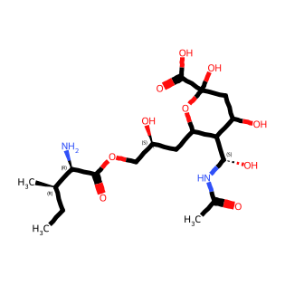 CC[C@@H](C)[C@@H](N)C(=O)OC[C@@H](O)CC1OC(O)(C(=O)O)CC(O)C1[C@H](O)NC(C)=O